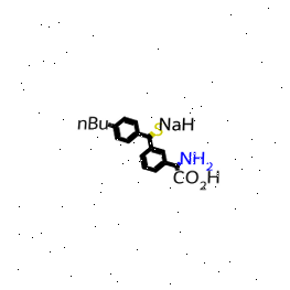 CCCCc1ccc(C(=S)c2cccc(C(N)C(=O)O)c2)cc1.[NaH]